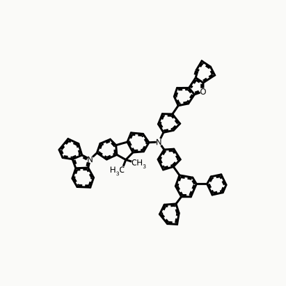 CC1(C)c2cc(N(c3ccc(-c4cc(-c5ccccc5)cc(-c5ccccc5)c4)cc3)c3ccc(-c4ccc5c(c4)oc4ccccc45)cc3)ccc2-c2ccc(-n3c4ccccc4c4ccccc43)cc21